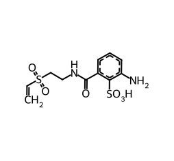 C=CS(=O)(=O)CCNC(=O)c1cccc(N)c1S(=O)(=O)O